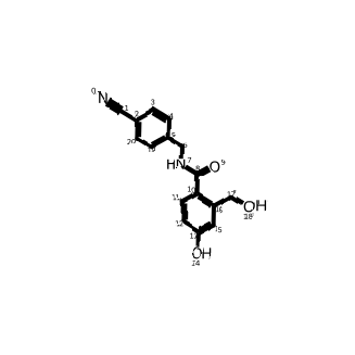 N#Cc1ccc(CNC(=O)c2ccc(O)cc2CO)cc1